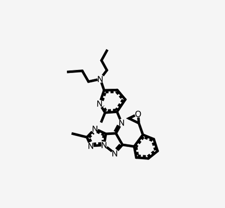 CCCN(CCC)c1ccc(/N=C2/C(c3ccccc3C3CO3)=Nn3nc(C)nc32)c(C)n1